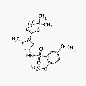 COc1ccc(OC)c(S(=O)(=O)N[C@@H]2C[C@H](C)N(C(=O)OC(C)(C)C)C2)c1